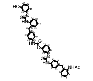 CC(=O)Nc1ccccc1Cc1ccc(NC(=O)Oc2cccc(OC(=O)Nc3ccc(Cc4ccccc4NC(=O)Oc4cccc(O)c4)cc3)c2)cc1